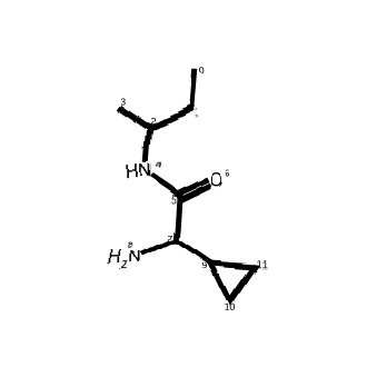 CCC(C)NC(=O)C(N)C1CC1